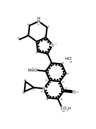 COc1c(-c2cc3c(s2)CNCC3C)ccc2c(=O)c(C(=O)O)cn(C3CC3)c12.Cl